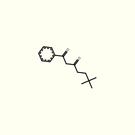 CC(C)(C)CCC(=O)CC(=O)c1ccccc1